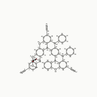 N#Cc1cc2c3c(c1)Oc1cc4c(cc1B3c1ccccc1O2)B1c2cc3c(cc2N(c2ccccc2)c2cc(C#N)cc(c21)O4)N(c1ccccc1)c1cc(C#N)cc2c1B3c1ccccc1O2